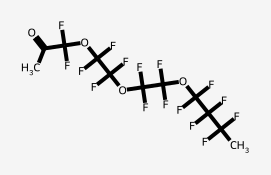 CC(=O)C(F)(F)OC(F)(F)C(F)(F)OC(F)(F)C(F)(F)OC(F)(F)C(F)(F)C(C)(F)F